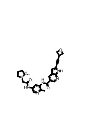 Cc1ncc(NC(=O)CN2CCC[C@@H]2C)cc1NC(=O)c1cnc2[nH]c(C#CC3COC3)cc2c1